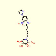 O=[N+]([O-])c1cc(-n2cccn2)ccc1NCCCCCCN1C[C@H](O)[C@@H](O)[C@H](O)[C@H]1CO